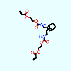 C=CC(=O)OCCOC(=O)NCCC1C2CCC1[C@H](CNC(=O)OCCOC(=O)C=C)C2